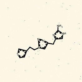 Nc1nc(Cc2cn(CCc3ccsc3)nn2)c[nH]1